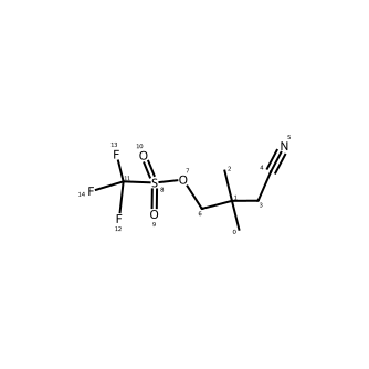 CC(C)(CC#N)COS(=O)(=O)C(F)(F)F